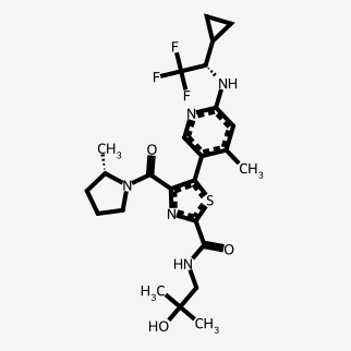 Cc1cc(N[C@@H](C2CC2)C(F)(F)F)ncc1-c1sc(C(=O)NCC(C)(C)O)nc1C(=O)N1CCC[C@@H]1C